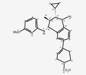 COc1cccc(N[C@H]2c3cc(C4=CCN(C(=O)O)CC4)ccc3N(C(C)=O)[C@@H](C3CC3)[C@@H]2C)n1